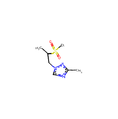 CCS(=O)(=O)C(C)Cn1cnc(C)n1